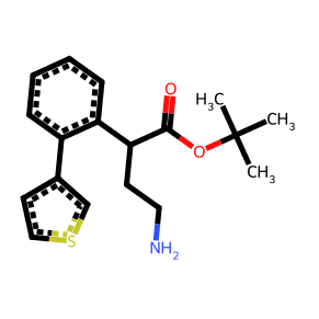 CC(C)(C)OC(=O)C(CCN)c1ccccc1-c1ccsc1